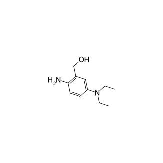 CCN(CC)c1ccc(N)c(CO)c1